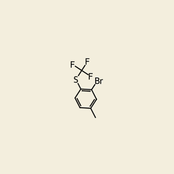 Cc1ccc(SC(F)(F)F)c(Br)c1